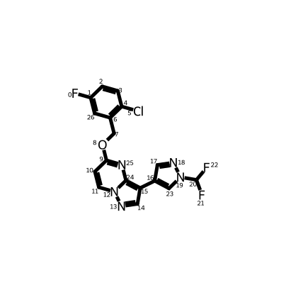 Fc1ccc(Cl)c(COc2ccn3ncc(-c4cnn(C(F)F)c4)c3n2)c1